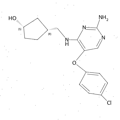 Nc1ncc(Oc2ccc(Cl)cc2)c(NC[C@@H]2CC[C@H](O)C2)n1